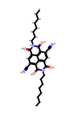 CCCCCCCCN1C(=O)c2cc(C#N)c3c4c(cc(C#N)c(c24)C1=O)C(=O)N(CCCCCCCC)C3=O